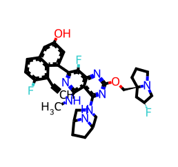 C#Cc1c(F)ccc2cc(O)cc(-c3nc(NC)c4c(N5CC6CCC(C5)N6)nc(OC[C@@]56CCCN5C[C@H](F)C6)nc4c3F)c12